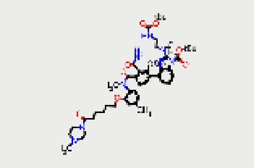 COc1c(-c2cccc3c2nc(N(C)CCNC(=O)OC(C)(C)C)n3C(=O)OC(C)(C)C)ccc(C(=O)N(C)c2ccc(C)cc2OCCCCCC(=O)N2CCN(C)CC2)c1C(N)=O